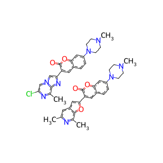 Cc1cc2cc(-c3cc4ccc(N5CCN(C)CC5)cc4oc3=O)oc2c(C)n1.Cc1nc(Cl)cn2cc(-c3cc4ccc(N5CCN(C)CC5)cc4oc3=O)nc12